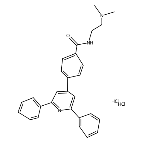 CN(C)CCNC(=O)c1ccc(-c2cc(-c3ccccc3)nc(-c3ccccc3)c2)cc1.Cl.Cl